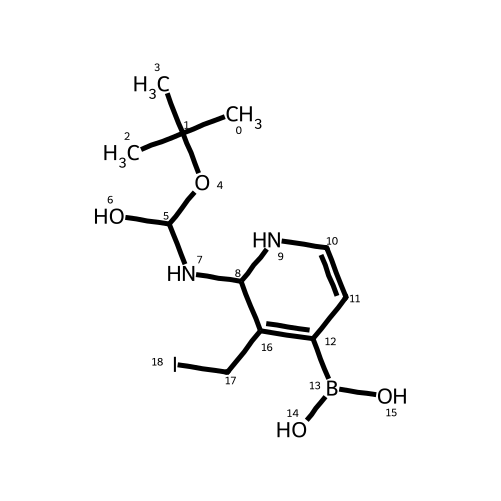 CC(C)(C)OC(O)NC1NC=CC(B(O)O)=C1CI